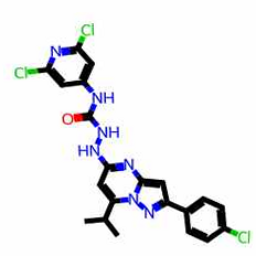 CC(C)c1cc(NNC(=O)Nc2cc(Cl)nc(Cl)c2)nc2cc(-c3ccc(Cl)cc3)nn12